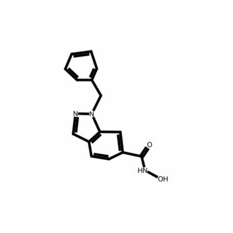 O=C(NO)c1ccc2cnn(Cc3ccccc3)c2c1